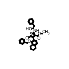 CCOC(=O)c1c(NC(O)Cc2ccccc2)sc(Cl)c1-c1ccc2c(c1OCc1ccccc1)CCCC2